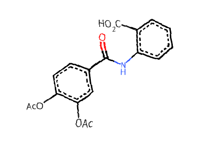 CC(=O)Oc1ccc(C(=O)Nc2ccccc2C(=O)O)cc1OC(C)=O